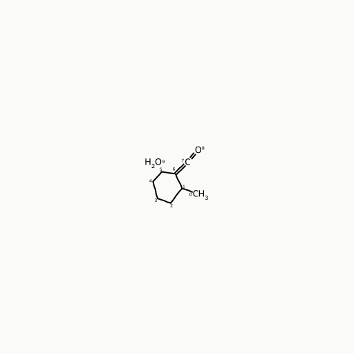 CC1CCCCC1=C=O.O